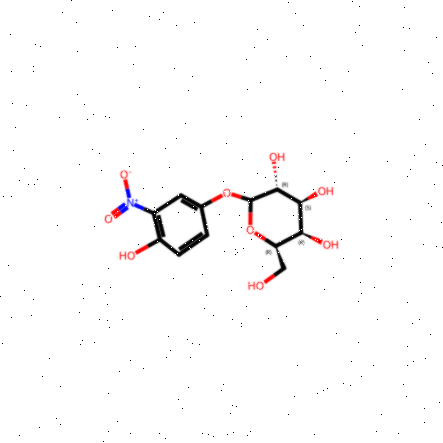 O=[N+]([O-])c1cc(OC2O[C@H](CO)[C@H](O)[C@H](O)[C@H]2O)ccc1O